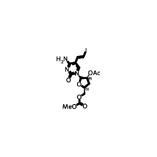 COC(=O)OC[C@@H]1C[C@@H](OC(C)=O)[C@H](n2cc(C=CI)c(N)nc2=O)O1